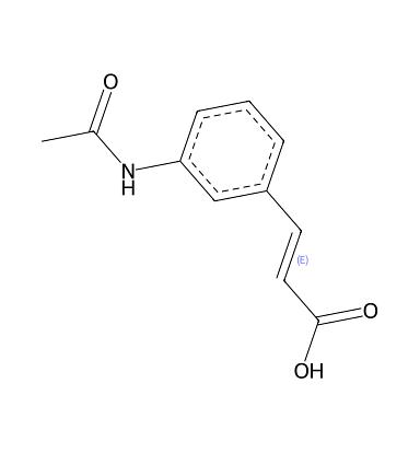 CC(=O)Nc1cccc(/C=C/C(=O)O)c1